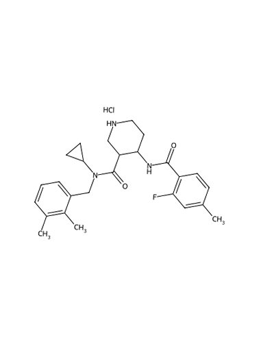 Cc1ccc(C(=O)NC2CCNCC2C(=O)N(Cc2cccc(C)c2C)C2CC2)c(F)c1.Cl